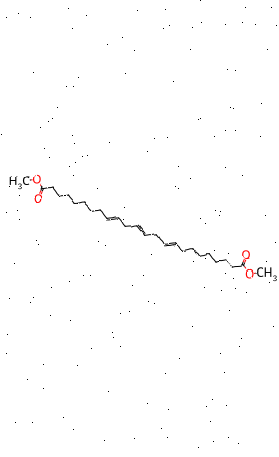 COC(=O)CCCCCCCC=CCC=CCC=CCCCCCCCC(=O)OC